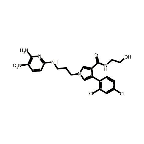 Nc1nc(NCCCn2cc(C(=O)NCCO)c(-c3ccc(Cl)cc3Cl)c2)ccc1[N+](=O)[O-]